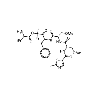 CC[C@@](C)(OC(=O)C(N)C(C)C)C(=O)[C@H](Cc1ccccc1)NC(=O)[C@H](COC)NC(=O)[C@H](COC)NC(=O)c1cnc(C)s1